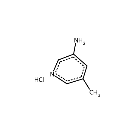 Cc1cncc(N)c1.Cl